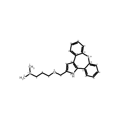 CN(C)CCCOCc1cc2c([nH]1)-c1ccccc1Sc1ccccc1-2